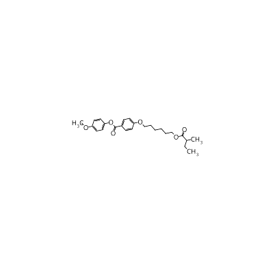 CCC(C)C(=O)OCCCCCCOc1ccc(C(=O)Oc2ccc(OC)cc2)cc1